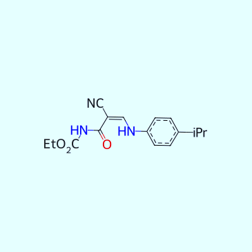 CCOC(=O)NC(=O)C(C#N)=CNc1ccc(C(C)C)cc1